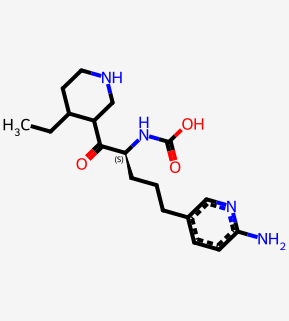 CCC1CCNCC1C(=O)[C@H](CCCc1ccc(N)nc1)NC(=O)O